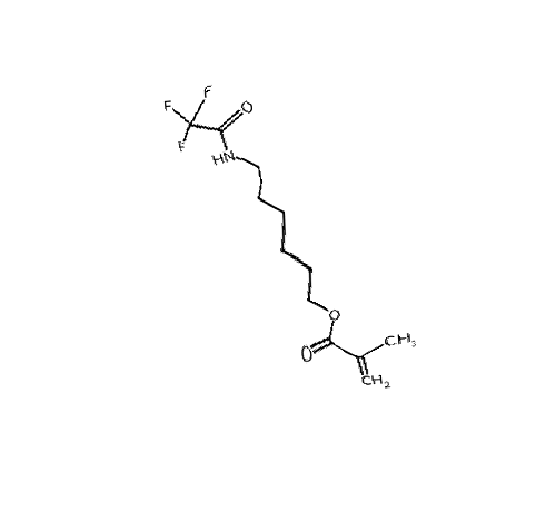 C=C(C)C(=O)OCCCCCCNC(=O)C(F)(F)F